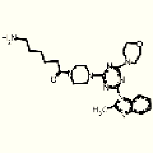 Cc1nc2ccccc2n1-c1nc(N2CCOCC2)nc(N2CCN(C(=O)CCCCCN)CC2)n1